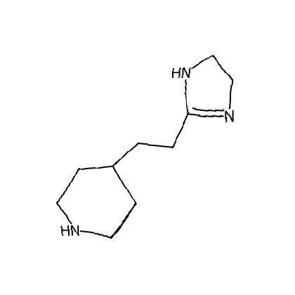 C1CNC(CCC2CCNCC2)=N1